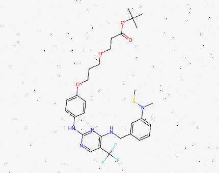 CSN(C)c1cccc(CNc2nc(Nc3ccc(OCCCOCCC(=O)OC(C)(C)C)cc3)ncc2C(F)(F)F)c1